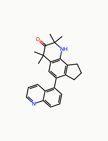 CC1(C)Nc2c(cc(-c3cccc4ncccc34)c3c2CCC3)C(C)(C)C1=O